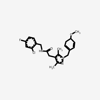 COC1C=CC(Cn2nc(C)c(CC(=O)NCc3ccc(F)cc3Cl)c2C)=CC1